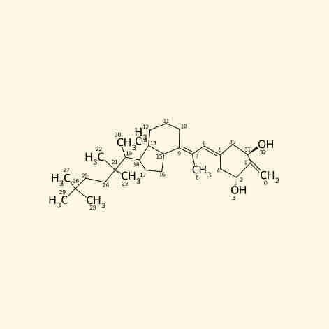 C=C1[C@H](O)CC(=C/C(C)=C2\CCC[C@@]3(C)C2CCC3C(C)C(C)(C)CCC(C)(C)C)C[C@H]1O